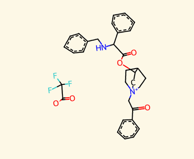 O=C(C[N+]12CCC(CC1)C(OC(=O)C(NCc1ccccc1)c1ccccc1)C2)c1ccccc1.O=C([O-])C(F)(F)F